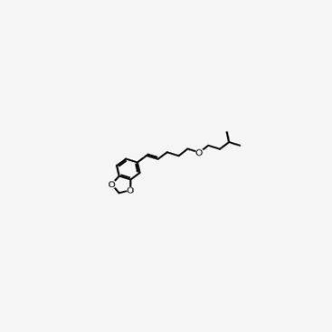 CC(C)CCOCCCC=Cc1ccc2c(c1)OCO2